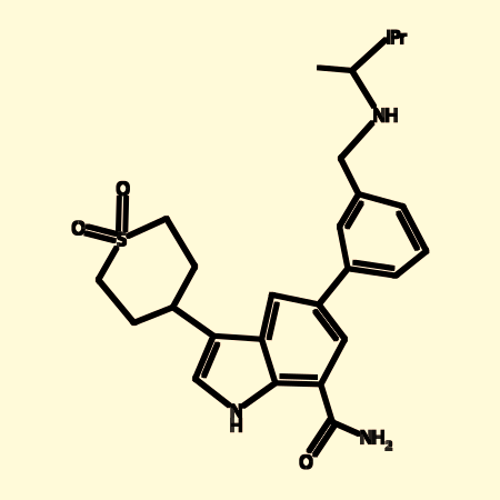 CC(C)C(C)NCc1cccc(-c2cc(C(N)=O)c3[nH]cc(C4CCS(=O)(=O)CC4)c3c2)c1